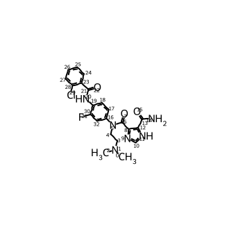 CN(C)CCN(C(=O)c1nc[nH]c1C(N)=O)c1ccc(NC(=O)c2ccccc2Cl)c(F)c1